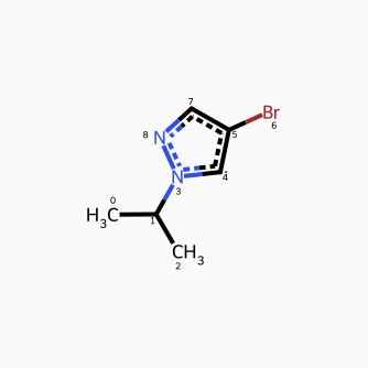 CC(C)n1[c]c(Br)cn1